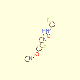 O=C(Cc1ccc(-c2ccc(OCCN3CCCCC3)cc2F)cn1)NCc1cccc(F)c1